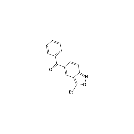 CCc1onc2ccc(C(=O)c3ccccc3)cc12